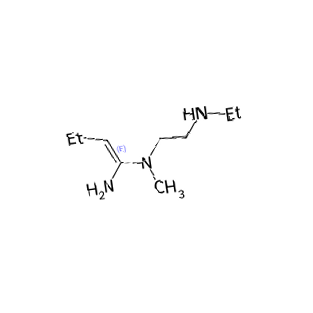 CC/C=C(\N)N(C)CCNCC